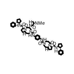 CN[C@@H](C)C(=O)N[C@H]1CN(C(=O)Nc2ccc(NC(=O)N3CCC(=O)N4[C@H](CC[C@H]4C(=O)N[C@@H]4CCC[C@H]4c4ccccc4)CC3)cc2)CC[C@H]2CC[C@@H](C(=O)N[C@@H]3CCC[C@H]3c3ccccc3)N2C1=O